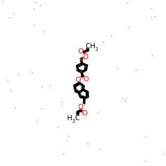 C=CC(=O)OCc1ccc(C(=O)Oc2ccc3cc(COC(=O)C=C)ccc3c2)cc1